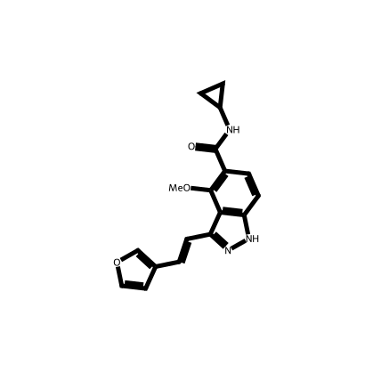 COc1c(C(=O)NC2CC2)ccc2[nH]nc(/C=C/c3ccoc3)c12